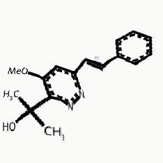 COc1cc(/C=C/c2ccccc2)nnc1C(C)(C)O